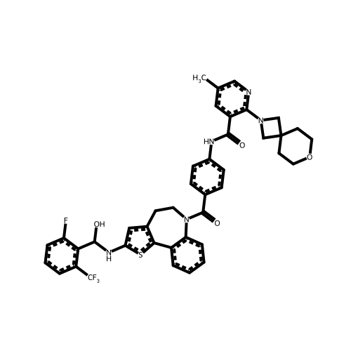 Cc1cnc(N2CC3(CCOCC3)C2)c(C(=O)Nc2ccc(C(=O)N3CCc4cc(NC(O)c5c(F)cccc5C(F)(F)F)sc4-c4ccccc43)cc2)c1